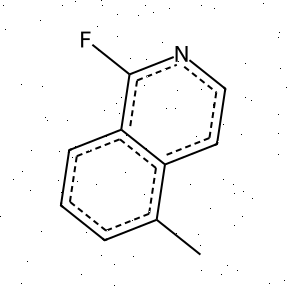 Cc1cccc2c(F)nccc12